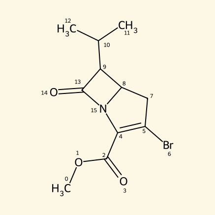 COC(=O)C1=C(Br)CC2C(C(C)C)C(=O)N12